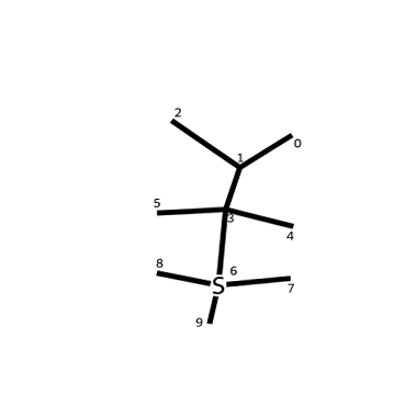 CC(C)C(C)(C)S(C)(C)C